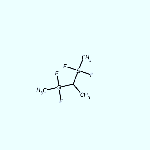 CC([Si](C)(F)F)[Si](C)(F)F